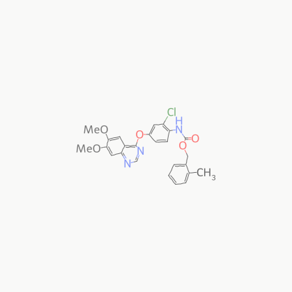 COc1cc2ncnc(Oc3ccc(NC(=O)OCc4ccccc4C)c(Cl)c3)c2cc1OC